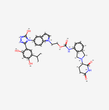 CC(C)c1cc(-c2nnc(O)n2-c2ccc3c(ccn3CCOC(=O)Nc3cccc4c3CN(C3CCC(=O)NC3=O)C4)c2)c(O)cc1O